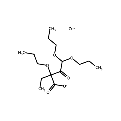 CCCOC(OCCC)C(=O)C(CC)(OCCC)C(=O)[O-].[Zr+]